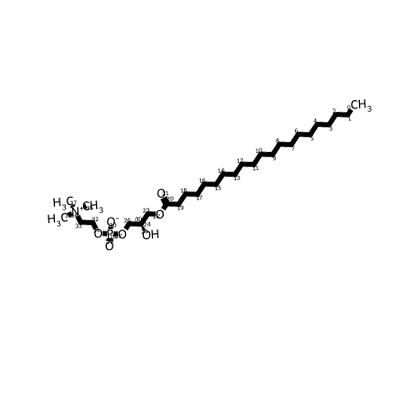 CCCCCCCCCCCCCCCCCCCCC(=O)OC[C@@H](O)COP(=O)([O-])OCC[N+](C)(C)C